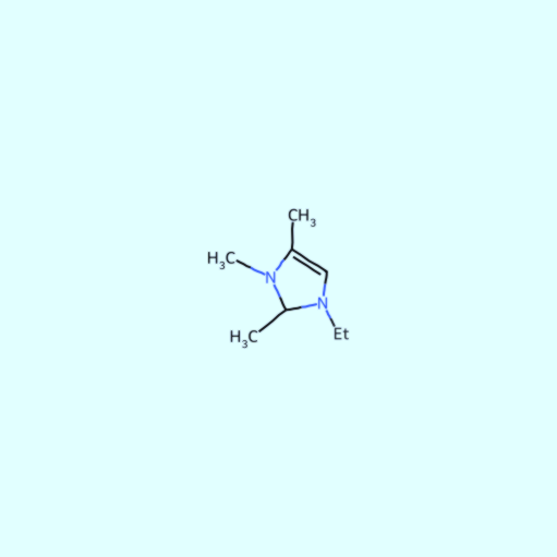 CCN1C=C(C)N(C)C1C